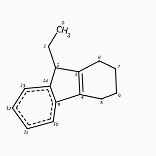 CCC1C2=C(CCC[CH]2)c2ccccc21